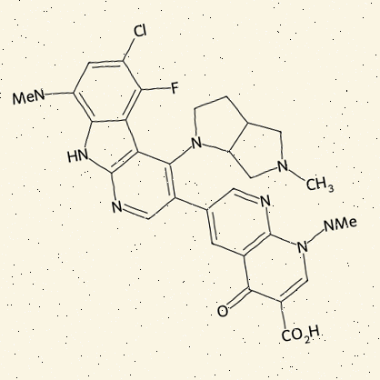 CNc1cc(Cl)c(F)c2c1[nH]c1ncc(-c3cnc4c(c3)c(=O)c(C(=O)O)cn4NC)c(N3CCC4CN(C)CC43)c12